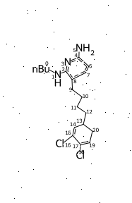 CCCCNc1nc(N)ccc1CCCCC1C=C(Cl)C(Cl)=CC1